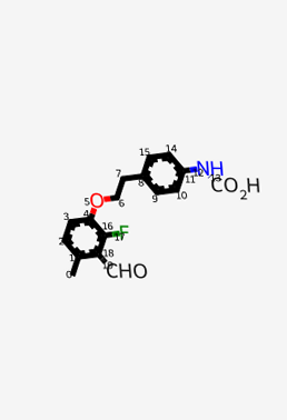 Cc1ccc(OCCc2ccc(NC(=O)O)cc2)c(F)c1C=O